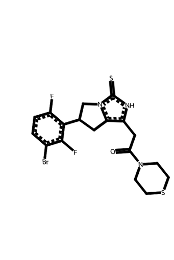 O=C(Cc1[nH]c(=S)n2c1CC(c1c(F)ccc(Br)c1F)C2)N1CCSCC1